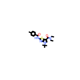 CCN(CC)C(=O)c1cn(C(C)(C)C)c2nc(NC(=O)c3ccc(C)cc3)sc12